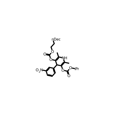 CCCCCCCCCCCCOC(=O)OC1=C(C)NC(C)=C(OC(=O)OC(C)C)C1c1cccc([N+](=O)[O-])c1